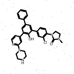 CN1CCN(c2ccc(-c3cc(-c4ccccc4)cc(-c4ccnc(N5CCNCC5)c4)c3O)cc2Cl)C1=O